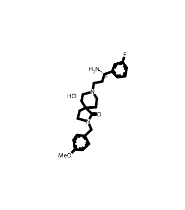 COc1ccc(CN2CCC3(CCN(CC[C@H](N)c4cccc(F)c4)CC3)C2=O)cc1.Cl